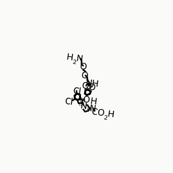 NCCOCCOCCNS(=O)(=O)c1ccc(O[C@@H]2c3cc(Cl)cc(Cl)c3C[C@@H]2N2CCC[C@@H](NC(=O)O)C2)cc1